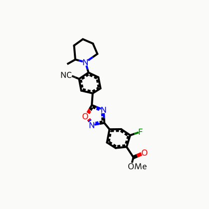 COC(=O)c1ccc(-c2noc(-c3ccc(N4CCCCC4C)c(C#N)c3)n2)cc1F